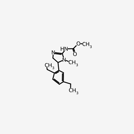 CCc1ccc(CC)c(C2CN=C(NC(=O)OC)N2C)c1